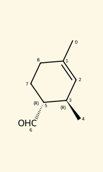 CC1=C[C@@H](C)[C@H](C=O)CC1